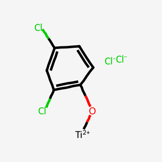 Clc1ccc([O][Ti+2])c(Cl)c1.[Cl-].[Cl-]